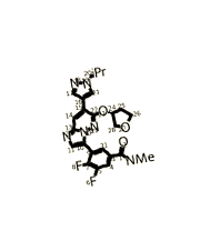 CNC(=O)c1cc(F)c(F)c(-c2cnc3cc(-c4cnn(C(C)C)c4)c(O[C@H]4CCOC4)nn23)c1